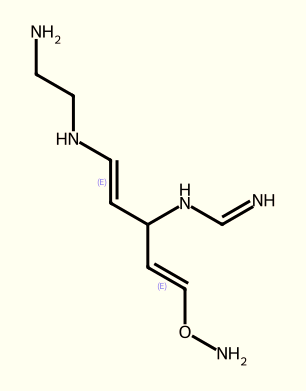 N=CNC(/C=C/NCCN)/C=C/ON